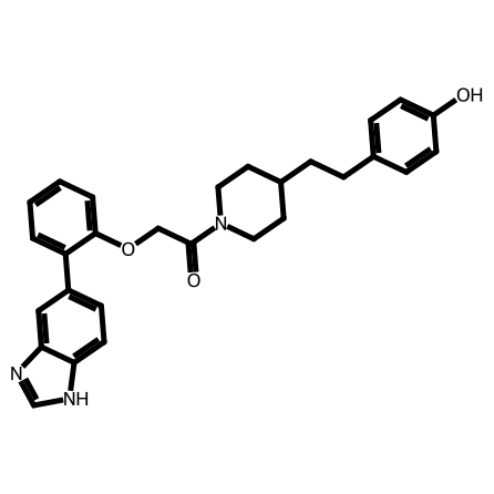 O=C(COc1ccccc1-c1ccc2[nH]cnc2c1)N1CCC(CCc2ccc(O)cc2)CC1